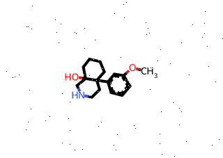 COc1cccc(C23CCCCC2(O)CNCC3)c1